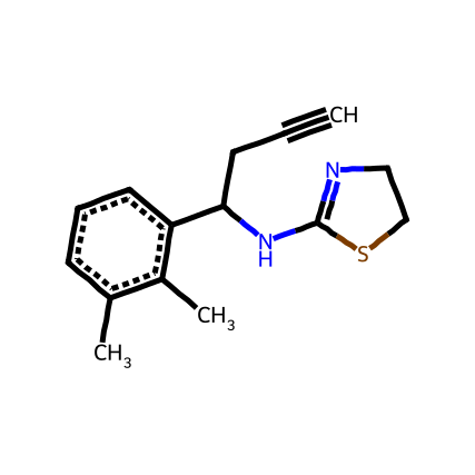 C#CCC(NC1=NCCS1)c1cccc(C)c1C